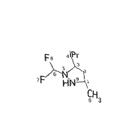 CC1CC(C(C)C)N(C(F)F)N1